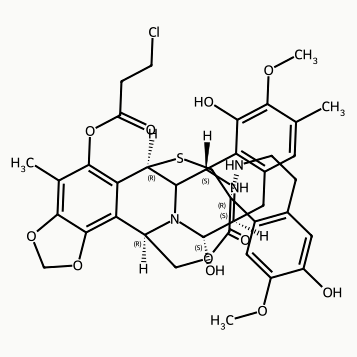 COc1cc2c(cc1O)CCN[C@]21CS[C@@H]2c3c(OC(=O)CCCl)c(C)c4c(c3[C@H](COC1=O)N1C2[C@H]2N[C@@H](Cc3cc(C)c(OC)c(O)c32)[C@@H]1O)OCO4